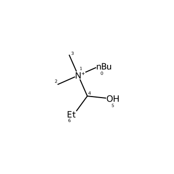 CCCC[N+](C)(C)C(O)CC